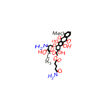 COc1cccc2c1C(=O)c1c(O)c3c(c(O)c1C2=O)C[C@@](O)(C(=O)COC(=O)CCCC(N)=O)C[C@@H]3O[C@H]1C[C@H](N)[C@H](O)[C@H](C)O1